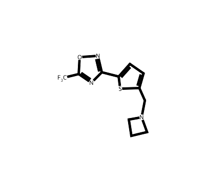 FC(F)(F)c1nc(-c2ccc(CN3CCC3)s2)no1